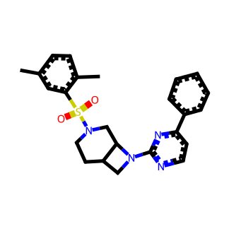 Cc1ccc(C)c(S(=O)(=O)N2CCC3CN(c4nccc(-c5ccccc5)n4)C3C2)c1